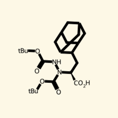 CC(C)(C)OC(=O)NN(C(=O)OC(C)(C)C)[C@@H](CC1C2CC3CC(C2)CC1C3)C(=O)O